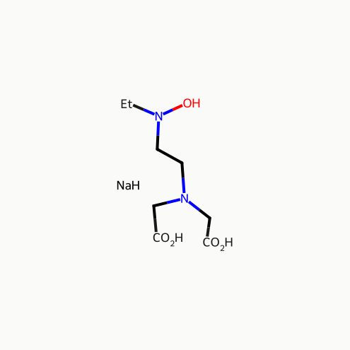 CCN(O)CCN(CC(=O)O)CC(=O)O.[NaH]